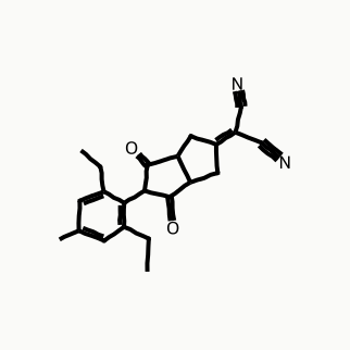 CCc1cc(C)cc(CC)c1C1C(=O)C2CC(=C(C#N)C#N)CC2C1=O